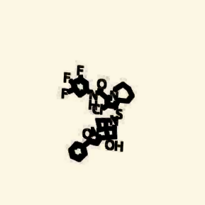 O=C(Nc1cc(F)c(F)c(F)c1)c1c(Cl)c(SN2C3CCC34C2CC4(O)c2cc(-c3ccccc3)on2)c2n1CCCCC2